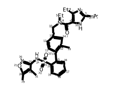 CCCc1nc(CC)c(C(=O)N(CC)Cc2ccc(-c3ccccc3S(=O)(=O)Nc3noc(C)c3C)c(C)c2)[nH]1